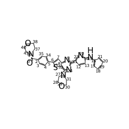 O=C(c1ccc(-c2cc3nc(-c4ccc(Nc5ccccc5)nc4)nc(N4CCOCC4)c3s2)cc1)N1CCOCC1